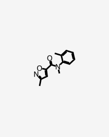 Cc1cc(C(=O)N(C)c2ccccc2C)on1